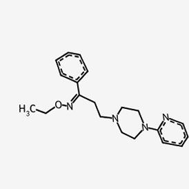 CCON=C(CCN1CCN(c2ccccn2)CC1)c1ccccc1